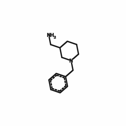 NCC1CCCN(Cc2ccccc2)C1